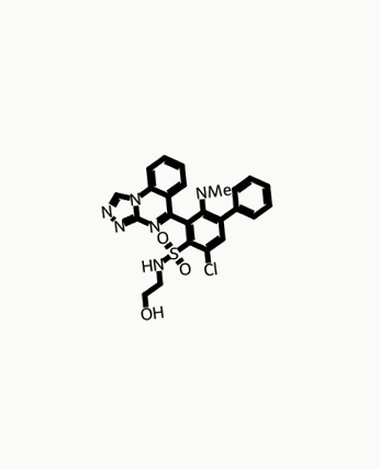 CNc1c(-c2ccccc2)cc(Cl)c(S(=O)(=O)NCCO)c1-c1nc2nncn2c2ccccc12